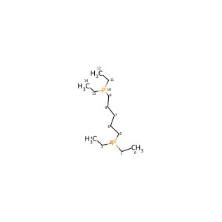 CCP(CC)CCCCCP(CC)CC